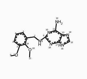 COc1cccc(CNc2nc(N)c3nc[nH]c3n2)c1OC